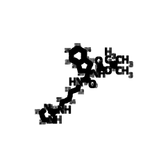 CC(C)(C)OC(=O)NC1(C(=O)NCCCCNC2=NCCN2)Cc2ccccc2C1